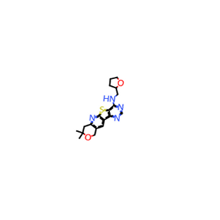 CC1(C)Cc2nc3sc4c(NCC5CCCO5)ncnc4c3cc2CO1